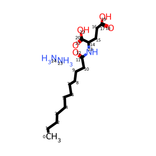 CCCCCCCCCCCC(=O)NC(CCC(=O)O)C(=O)O.N.N